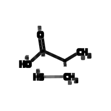 CCC(=O)O.CS